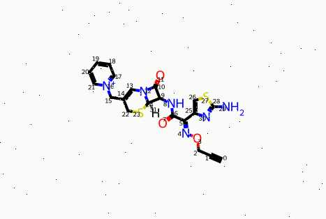 C#CCO/N=C(/C(=O)NC1C(=O)N2C=C(C[n+]3ccccc3)CS[C@H]12)c1csc(N)n1